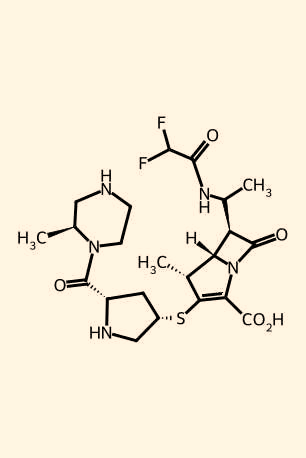 CC(NC(=O)C(F)F)[C@H]1C(=O)N2C(C(=O)O)=C(S[C@@H]3CN[C@H](C(=O)N4CCNC[C@@H]4C)C3)[C@H](C)[C@H]12